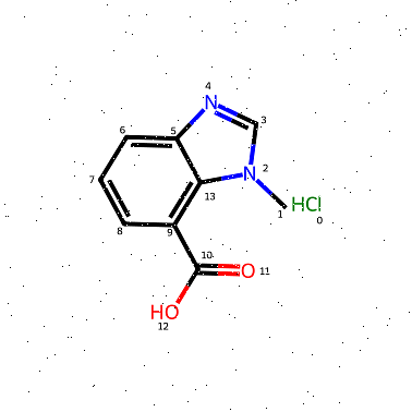 Cl.Cn1cnc2cccc(C(=O)O)c21